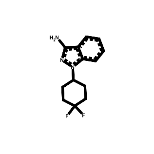 Nc1nn(C2CCC(F)(F)CC2)c2ccccc12